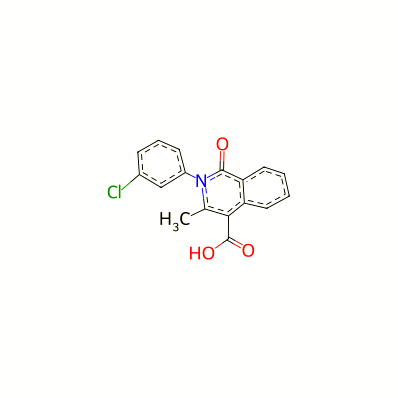 Cc1c(C(=O)O)c2ccccc2c(=O)n1-c1cccc(Cl)c1